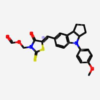 COc1ccc(N2c3ccc(/C=C4\SC(=S)N(COC=O)C4=O)cc3C3CCCC32)cc1